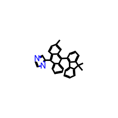 Cc1ccc2c(-c3cnccn3)c3ccccc3c(-c3cccc4c3-c3ccccc3C4(C)C)c2c1